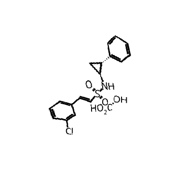 O=C(O)O.O=S(=O)(/C=C/c1cccc(Cl)c1)N[C@H]1C[C@@H]1c1ccccc1